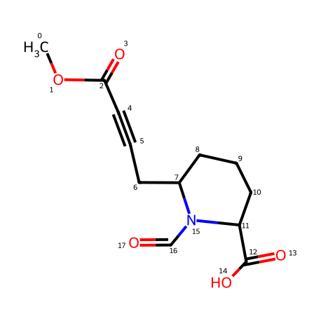 COC(=O)C#CCC1CCCC(C(=O)O)N1C=O